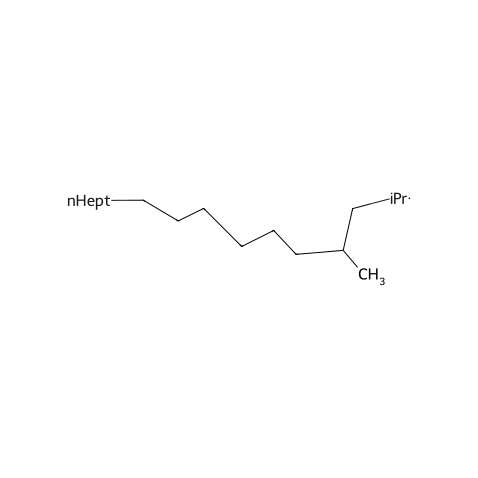 CCCCCCCCCCCCCC(C)C[C](C)C